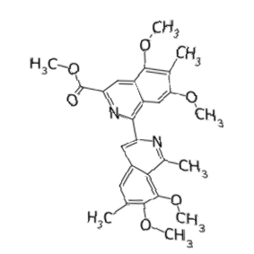 COC(=O)c1cc2c(OC)c(C)c(OC)cc2c(-c2cc3cc(C)c(OC)c(OC)c3c(C)n2)n1